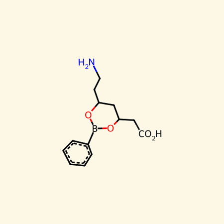 NCCC1CC(CC(=O)O)OB(c2ccccc2)O1